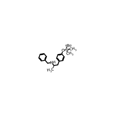 C[C@H](Cc1ccc(O[Si](C)(C)C(C)(C)C)cc1)NCc1ccccc1